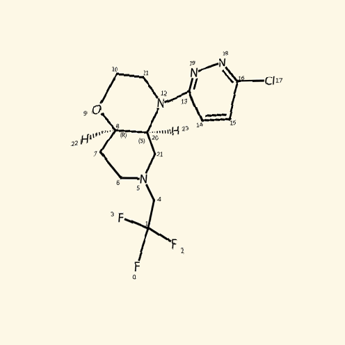 FC(F)(F)CN1CC[C@H]2OCCN(c3ccc(Cl)nn3)[C@H]2C1